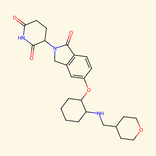 O=C1CCC(N2Cc3cc(OC4CCCCC4NCC4CCOCC4)ccc3C2=O)C(=O)N1